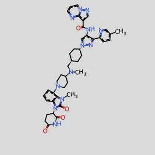 Cc1ccc(-c2nn([C@H]3CC[C@H](CN(C)C4CCN(c5cccc6c5n(C)c(=O)n6C5CCC(=O)NC5=O)CC4)CC3)cc2NC(=O)c2cnn3cccnc23)nc1